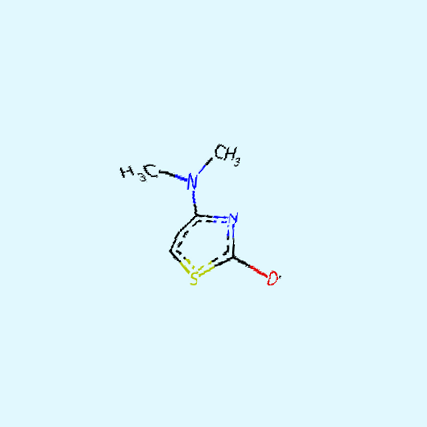 CN(C)c1csc([O])n1